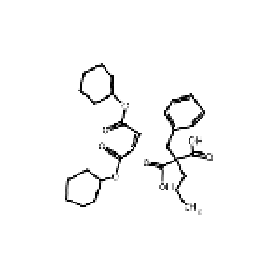 CCCC(Cc1ccccc1)(C(=O)O)C(=O)O.O=C(/C=C\C(=O)OC1CCCCC1)OC1CCCCC1